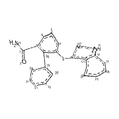 NC(=O)c1cccc(Cc2n[nH]c3ccccc23)c1-c1ccccc1